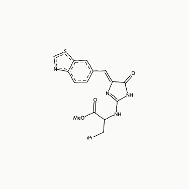 COC(=O)C(CC(C)C)NC1=N/C(=C\c2ccc3ncsc3c2)C(=O)N1